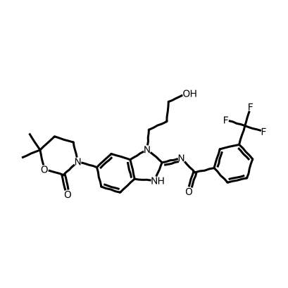 CC1(C)CCN(c2ccc3[nH]/c(=N\C(=O)c4cccc(C(F)(F)F)c4)n(CCCO)c3c2)C(=O)O1